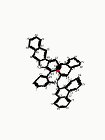 c1ccc(N(c2ccc3ccccc3c2)c2cc3ccccc3c3ccccc23)c(-c2cccc3c2oc2cc4ccccc4cc23)c1